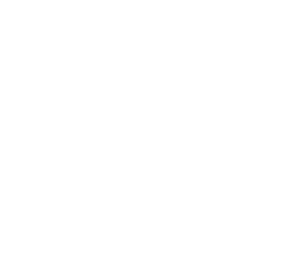 CCCO[SiH](OCCC)c1cc(C)ccc1CC